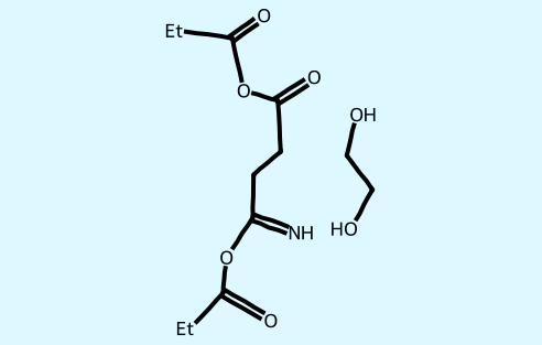 CCC(=O)OC(=N)CCC(=O)OC(=O)CC.OCCO